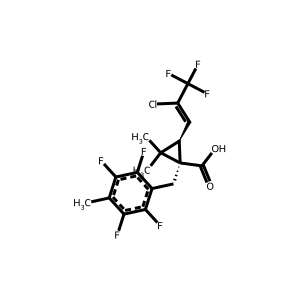 Cc1c(F)c(F)c(C[C@@]2(C(=O)O)[C@H](C=C(Cl)C(F)(F)F)C2(C)C)c(F)c1F